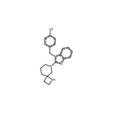 N#Cc1ccc(Cn2c(N3CCCC4(CCN4)C3)nc3ccccc32)nc1